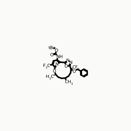 CC1CC[C@@H](C)Oc2nc(c(NC(=O)OC(C)(C)C)cc2C(F)(F)F)-c2nnc(o2)[C@@](OCc2ccccc2)(C(F)(F)F)CC1